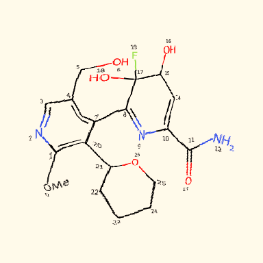 COc1ncc(CO)c(C2=NC(C(N)=O)=CC(O)C2(O)F)c1C1CCCCO1